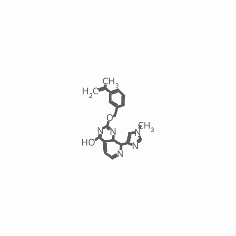 C=C(C)c1cccc(COC2=NC3C(=CC=NC3c3cn(C)cn3)C(O)=N2)c1